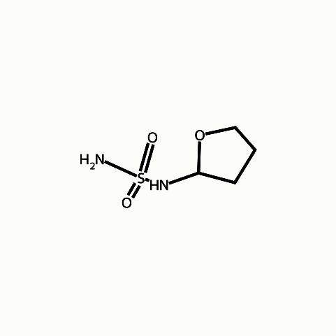 NS(=O)(=O)NC1CCCO1